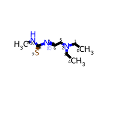 CCN(CC)C/C=N/C(=S)NC